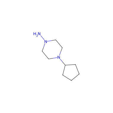 NN1CCN(C2CCCC2)CC1